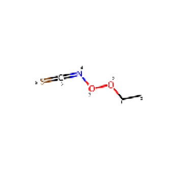 CCOON=C=S